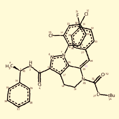 C[C@@H](NC(=O)c1nn(-c2ccc(Cl)cc2Cl)c2c1CCN(C(=O)OC(C)(C)C)/C2=C/c1ccc(F)cc1)c1ccccc1